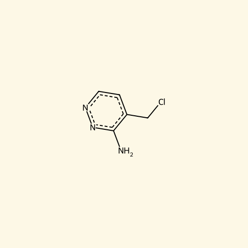 Nc1nnccc1CCl